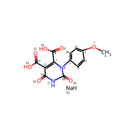 COc1ccc(-n2c(C(=O)O)c(C(=O)O)c(=O)[nH]c2=O)cc1.[NaH]